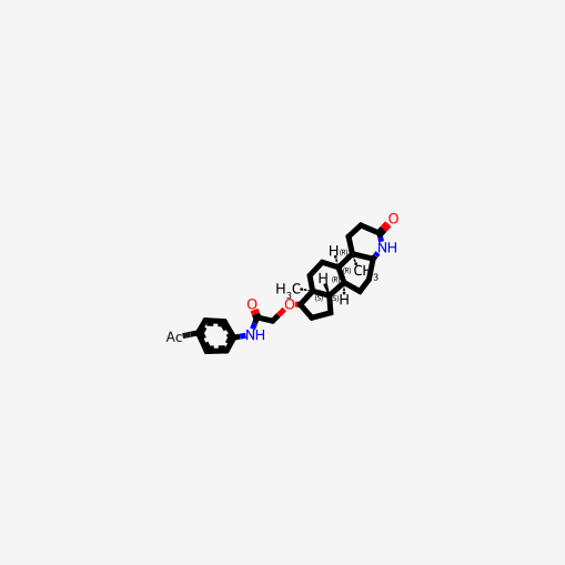 CC(=O)c1ccc(NC(=O)COC2CC[C@H]3[C@@H]4CCC5NC(=O)CC[C@]5(C)[C@@H]4CC[C@]23C)cc1